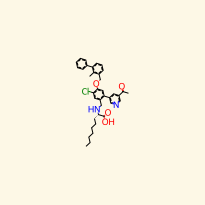 CCCCCCC[C@H](NCc1cc(Cl)c(OCc2cccc(-c3ccccc3)c2C)cc1-c1cncc(C(C)=O)c1)C(=O)O